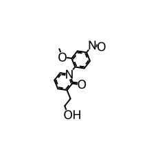 COc1cc(N=O)ccc1-n1cccc(CCO)c1=O